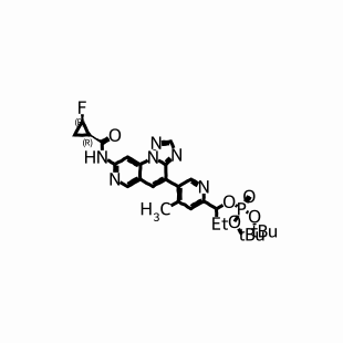 CCC(OP(=O)(OC(C)(C)C)OC(C)(C)C)c1cc(C)c(-c2cc3cnc(NC(=O)[C@H]4C[C@H]4F)cc3n3ncnc23)cn1